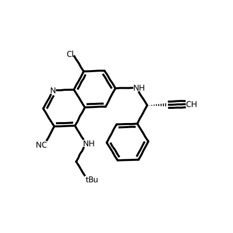 C#C[C@@H](Nc1cc(Cl)c2ncc(C#N)c(NCC(C)(C)C)c2c1)c1ccccc1